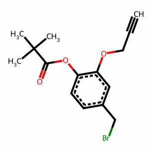 C#CCOc1cc(CBr)ccc1OC(=O)C(C)(C)C